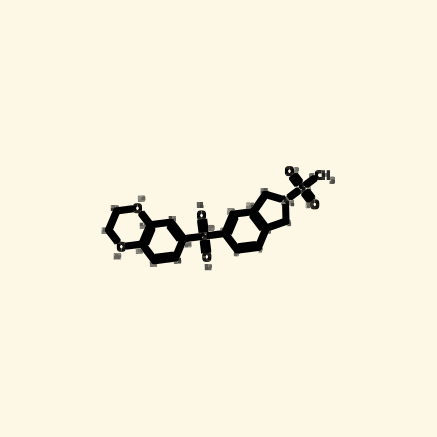 CS(=O)(=O)N1Cc2ccc(S(=O)(=O)c3ccc4c(c3)OCCO4)cc2C1